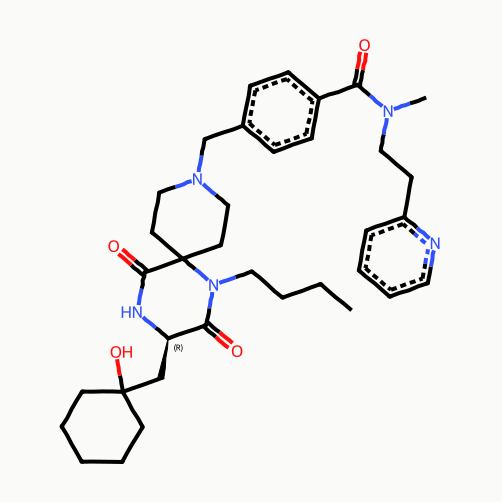 CCCCN1C(=O)[C@@H](CC2(O)CCCCC2)NC(=O)C12CCN(Cc1ccc(C(=O)N(C)CCc3ccccn3)cc1)CC2